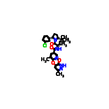 Cc1cc(Oc2ncc(C(=O)N[C@H](C)C(=O)N3[C@H](c4cccc(Cl)c4)CC[C@@H]3C(C)(C)C#N)cc2C)c(=O)[nH]n1